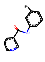 CC(C)c1cccc(NC(=O)c2cccnc2)c1